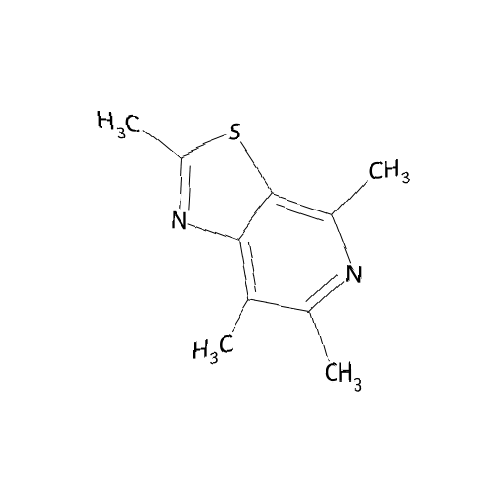 Cc1nc2c(C)c(C)nc(C)c2s1